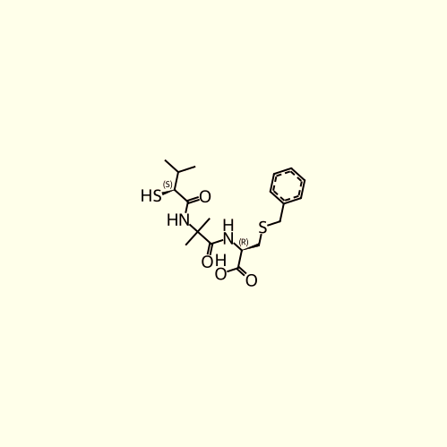 CC(C)[C@H](S)C(=O)NC(C)(C)C(=O)N[C@@H](CSCc1ccccc1)C(=O)O